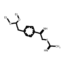 CCOC(Cc1ccc(C(=N)CSC(C)=N)cc1)OCC